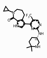 CC1(C)CC[C@H](Nc2ncc(C(F)(F)F)c(-c3c[nH]c4c3CCCN(C3CC3)C4=O)n2)CN1